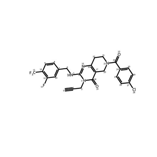 C#CCn1c(NCc2ccc(C(F)(F)F)c(F)c2)nc2c(c1=O)CN(C(=O)c1ccc(Cl)cc1)CC2